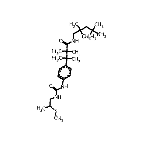 CSC(C)CNC(=O)Nc1ccc(C(C)(C)C(C)(C)C(=O)NCC(C)(C)CC(C)(C)N)cc1